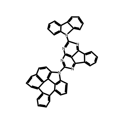 c1ccc2c(c1)-c1nc(-n3c4ccccc4c4ccccc43)nc3nc(-n4c5cccc6c5c5c7c(cccc7ccc54)-c4ccccc4-6)nc-2c13